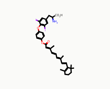 CC1=C(/C=C/C(C)=C/C=C/C(C)=C/C(=O)Oc2ccc(Oc3c(I)cc(CC(N)C(=O)O)cc3I)cc2)C(C)(C)CCC1